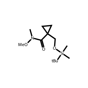 CON(C)C(=O)C1(CO[Si](C)(C)C(C)(C)C)CC1